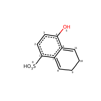 O=S(=O)(O)c1ccc(O)c2c1=CCCC=2